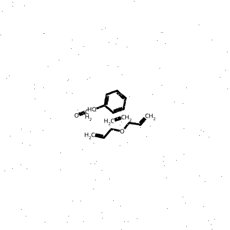 C=C.C=CCOCC=C.C=O.Oc1ccccc1